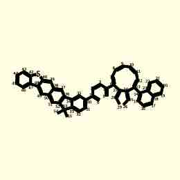 C=C(/C=C\C(=C)c1ccccccc(-c2cccc3ccccc23)c(=C/C)/c1=C\C)c1ccc2c(c1)-c1cc3cc4sc5ccccc5c4cc3cc1C2(C)C